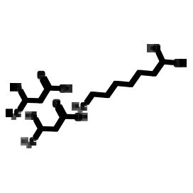 CC(S)CC(=O)O.CC(S)CC(=O)O.CCCCCCCC(O)O